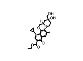 CCOC(=O)c1cn(C2CC2)c2c3c(c(F)cc2c1=O)N1CC[C@@](O)(CO)C[C@H]1CO3